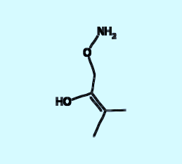 CC(C)=C(O)CON